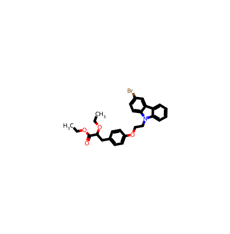 CCOC(=O)C(Cc1ccc(OCCn2c3ccccc3c3cc(Br)ccc32)cc1)OCC